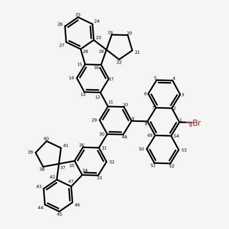 Brc1c2ccccc2c(-c2cc(-c3ccc4c(c3)C3(CCCC3)c3ccccc3-4)cc(-c3ccc4c(c3)C3(CCCC3)c3ccccc3-4)c2)c2ccccc12